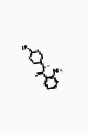 N#CC1CCC(NC(=O)c2ccccc2[N+](=O)[O-])CC1